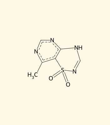 Cc1ncnc2c1S(=O)(=O)N=CN2